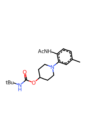 CC(=O)Nc1ccc(C)cc1N1CCC(OC(=O)NC(C)(C)C)CC1